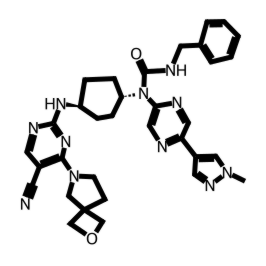 Cn1cc(-c2cnc(N(C(=O)NCc3ccccc3)[C@H]3CC[C@H](Nc4ncc(C#N)c(N5CCC6(COC6)C5)n4)CC3)cn2)cn1